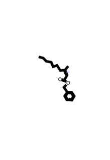 CCCCCCC/C(C)=C\C(=O)OCc1ccccc1